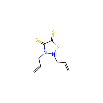 C=CCn1sc(=S)c(=S)n1CC=C